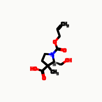 C=CCOC(=O)N1CCC(C)(C(=O)O)[C@H]1CO